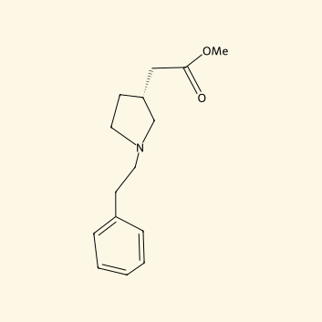 COC(=O)C[C@H]1CCN(CCc2ccccc2)C1